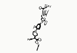 CCOC(=O)C(C#N)=C1CCN(c2ccc(N3CC(CNC(=O)CS)OC3=O)cc2F)CC1